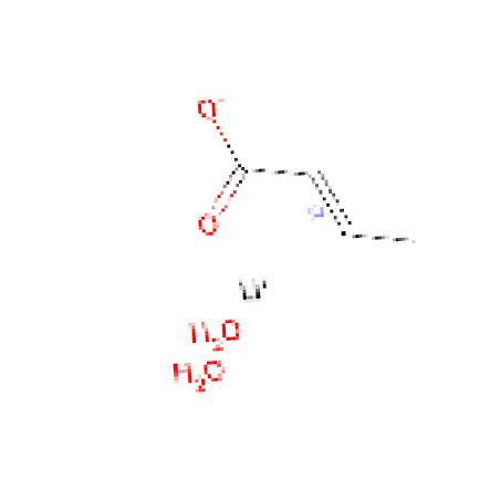 C/C=C/C(=O)[O-].O.O.[Li+]